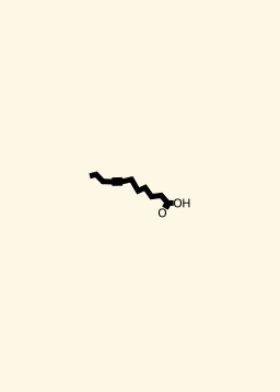 CCCC#CCCCCCC(=O)O